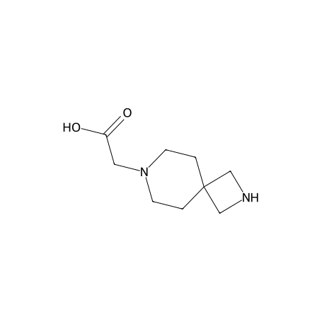 O=C(O)CN1CCC2(CC1)CNC2